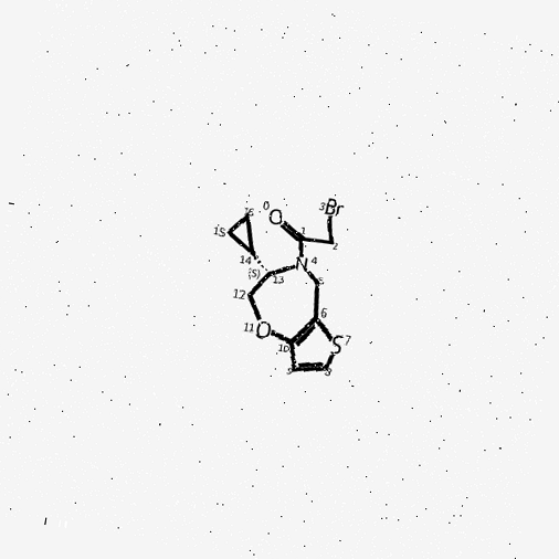 O=C(CBr)N1Cc2sccc2OC[C@@H]1C1CC1